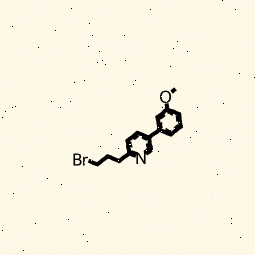 COc1cccc(-c2ccc(CCCBr)nc2)c1